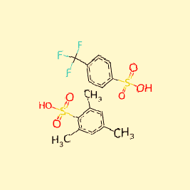 Cc1cc(C)c(S(=O)(=O)O)c(C)c1.O=S(=O)(O)c1ccc(C(F)(F)F)cc1